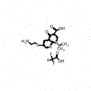 CN(C)n1cc(C(=O)O)c(=O)c2cc(SCCN)cnc21.O=C(O)C(F)(F)F